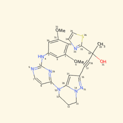 COc1cc(Nc2nccc(N3CCCn4nc(C#CC(C)(O)c5nccs5)cc43)n2)cc(OC)c1